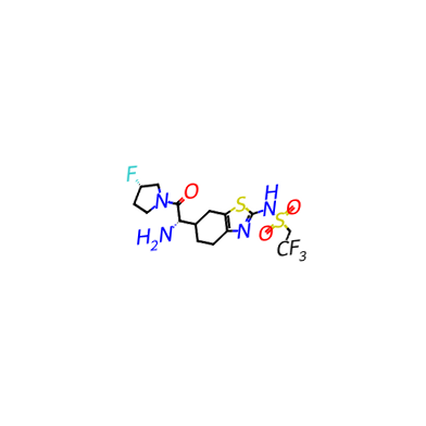 N[C@H](C(=O)N1CC[C@H](F)C1)C1CCc2nc(NS(=O)(=O)CC(F)(F)F)sc2C1